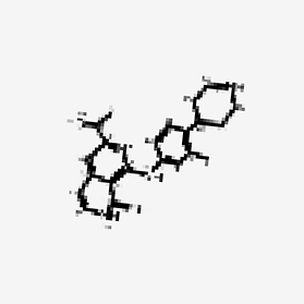 Cc1cc(Nc2nc(C(C)O)cc3cc[nH]c(=O)c23)ccc1C1CCNCC1